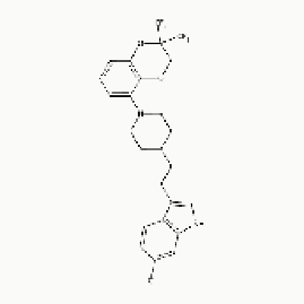 FC(F)(F)C1(C(F)(F)F)COc2c(cccc2N2CCC(CCc3c[nH]c4cc(Cl)ccc34)CC2)O1